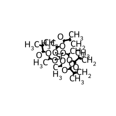 C=C(C)C(=O)OC(C)O[Si](OC(C)OC(=O)C(=C)C)(OC(C)OC(=O)C(=C)C)OC(C)OC(=O)C(=C)C